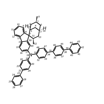 C[C@H]1C[C@@H]2C[C@H](C1)C1(c3ccccc3-c3ccc(N(c4ccc(-c5ccccc5)cc4)c4ccc(-c5ccc(-c6ccccc6)cc5)cc4)cc31)[C@H](C)C2